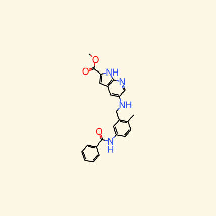 COC(=O)c1cc2cc(NCc3cc(NC(=O)c4ccccc4)ccc3C)cnc2[nH]1